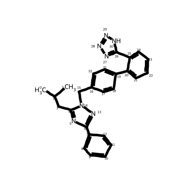 CC(C)Cc1nc(-c2ccccc2)nn1Cc1ccc(-c2ccccc2-c2nnn[nH]2)cc1